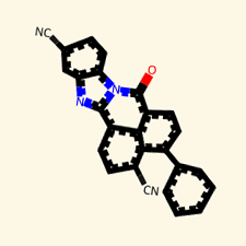 N#Cc1ccc2c(c1)nc1c3ccc(C#N)c4c(-c5ccccc5)ccc(c(=O)n21)c43